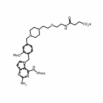 CCCCCNc1nc(N)nc2ccn(Cc3ccc(CN4CCN(CCOCCNC(=O)CCC(=O)O)CC4)cc3OC)c12